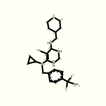 NC(F)(F)c1ccc(CN(C2=C(F)C(NCC3CCSCC3)NCN2)C2CC2)cc1